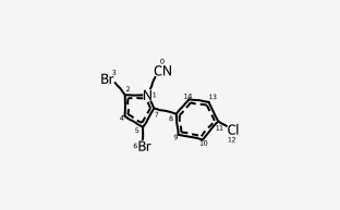 N#Cn1c(Br)cc(Br)c1-c1ccc(Cl)cc1